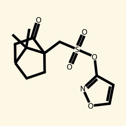 CC1(C)C2CCC1(CS(=O)(=O)Oc1ccon1)C(=O)C2